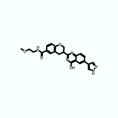 COCCNC(=O)c1ccc2c(c1)CC(c1nc(O)c3cc(-c4cn[nH]c4)ccc3n1)CO2